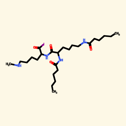 CCCCCC(=O)NCCCCC(NC(=O)CCCCC)C(=O)NC(CCCCNC)C(=O)I